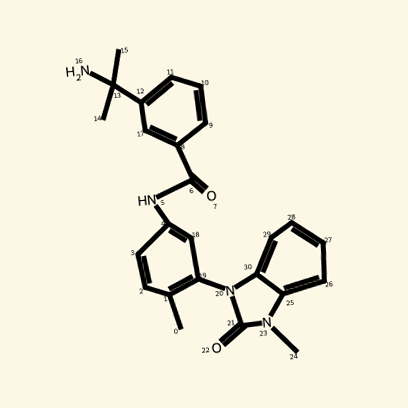 Cc1ccc(NC(=O)c2cccc(C(C)(C)N)c2)cc1-n1c(=O)n(C)c2ccccc21